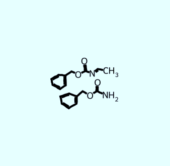 CC=NC(=O)OCc1ccccc1.NC(=O)OCc1ccccc1